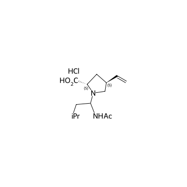 C=C[C@@H]1C[C@@H](C(=O)O)N(C(CC(C)C)NC(C)=O)C1.Cl